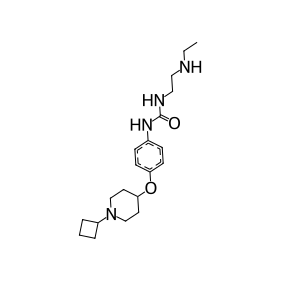 CCNCCNC(=O)Nc1ccc(OC2CCN(C3CCC3)CC2)cc1